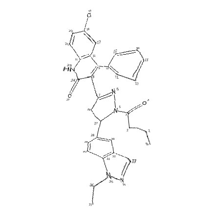 CCCC(=O)N1N=C(c2c(-c3ccccc3)c3cc(Cl)ccc3[nH]c2=O)CC1c1ccc2c(cnn2CC)c1